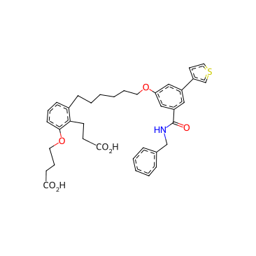 O=C(O)CCCOc1cccc(CCCCCCOc2cc(C(=O)NCc3ccccc3)cc(-c3ccsc3)c2)c1CCC(=O)O